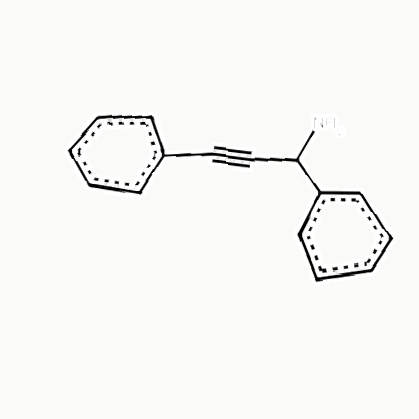 NC(C#Cc1ccccc1)c1ccccc1